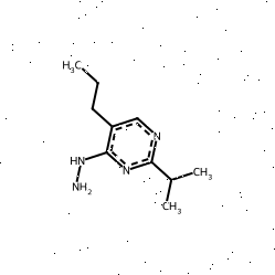 CCCc1cnc(C(C)C)nc1NN